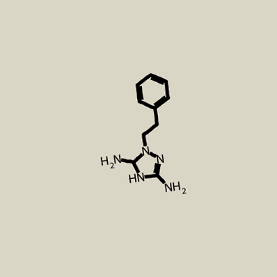 NC1=NN(CCc2ccccc2)C(N)N1